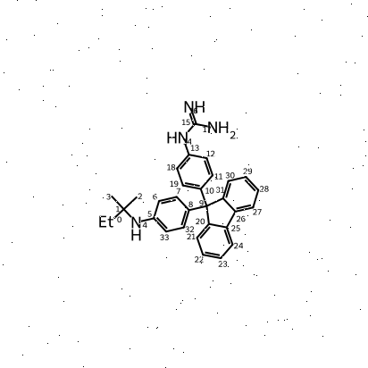 CCC(C)(C)Nc1ccc(C2(c3ccc(NC(=N)N)cc3)c3ccccc3-c3ccccc32)cc1